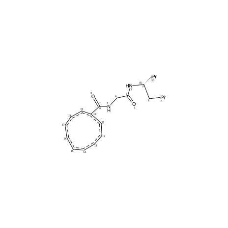 CC(C)C[C@H](NC(=O)CNC(=O)c1ccccccccc1)C(C)C